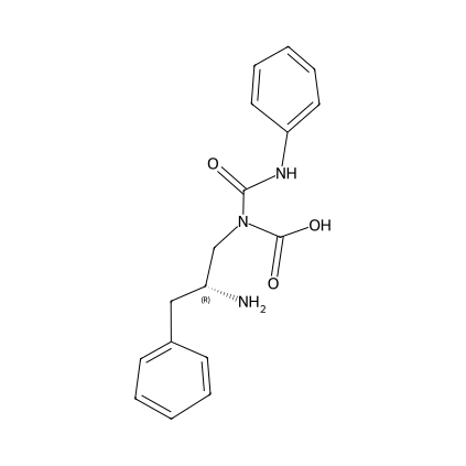 N[C@H](Cc1ccccc1)CN(C(=O)O)C(=O)Nc1ccccc1